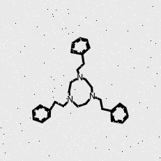 c1ccc(CCN2CCN(CCc3ccccc3)CCN(CCc3ccccc3)CC2)cc1